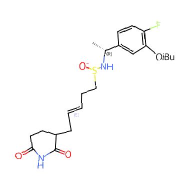 CC(C)COc1cc([C@@H](C)N[S+]([O-])CC/C=C/CC2CCC(=O)NC2=O)ccc1F